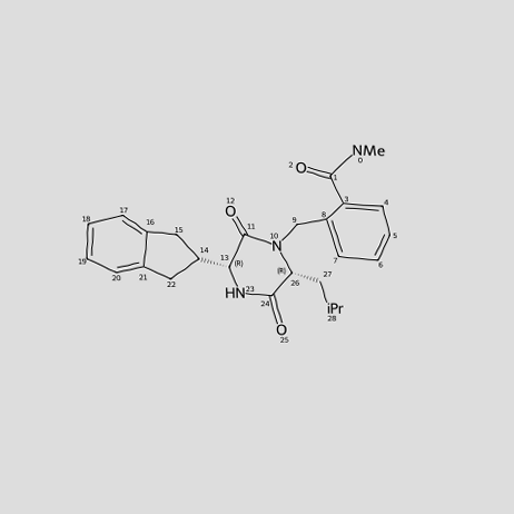 CNC(=O)c1ccccc1CN1C(=O)[C@@H](C2Cc3ccccc3C2)NC(=O)[C@H]1CC(C)C